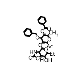 CCC1O[C@@H](O[C@H]2C(C(C)=O)O[C@H](C)[C@@H](OC(=O)c3ccccc3)C2OCc2ccccc2)C2NC(=O)O[C@H]2[C@@H]1O